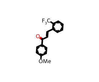 COc1ccc(C(=O)C=Cc2ccccc2C(F)(F)F)cc1